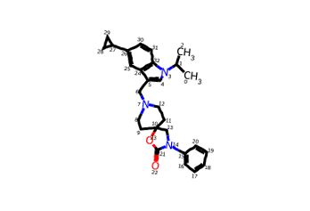 CC(C)n1cc(CN2CCC3(CC2)CN(c2ccccc2)C(=O)O3)c2cc(C3CC3)ccc21